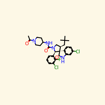 CC(=O)N1CCC(NC(=O)N2C[C@@H](CC(C)(C)C)[C@@]3(C(=O)Nc4cc(Cl)ccc43)[C@H]2c2cccc(Cl)c2F)CC1